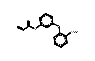 C=CC(=O)Sc1cccc(Sc2ccccc2SC)c1